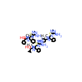 Cn1c(C(O)C2CC2)nc(-c2ccccc2)c1-c1nc2c(N)ncnc2s1.Cn1c(C(O)c2ccccc2)nc(-c2ccccc2)c1-c1nc2c(N)ncnc2s1.Cn1c(C2=CCNCC2)nc(-c2ccccc2)c1-c1nc2c(N)ncnc2s1